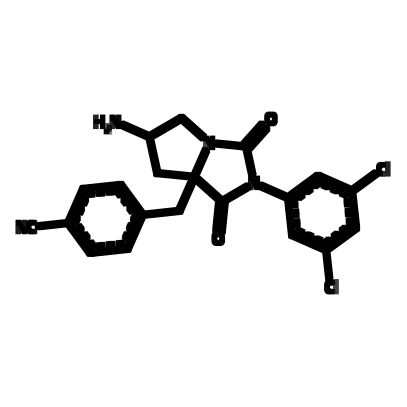 N#Cc1ccc(CC23CC(N)CN2C(=O)N(c2cc(Cl)cc(Cl)c2)C3=O)cc1